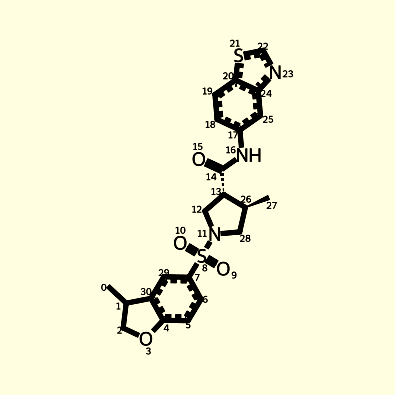 CC1COc2ccc(S(=O)(=O)N3C[C@H](C(=O)Nc4ccc5scnc5c4)[C@@H](C)C3)cc21